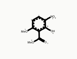 COC(=O)c1c(OC)ccc([N+](=O)[O-])c1O